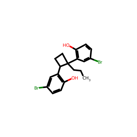 CCCC1(c2cc(Br)ccc2O)CCC1c1cc(Br)ccc1O